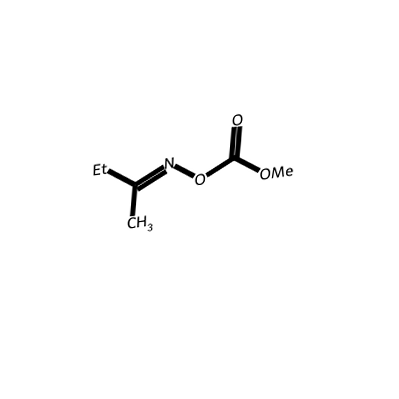 CCC(C)=NOC(=O)OC